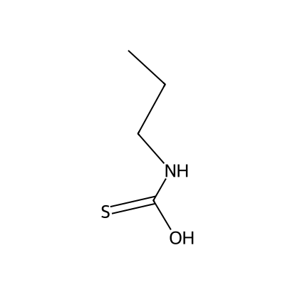 CCCNC(O)=S